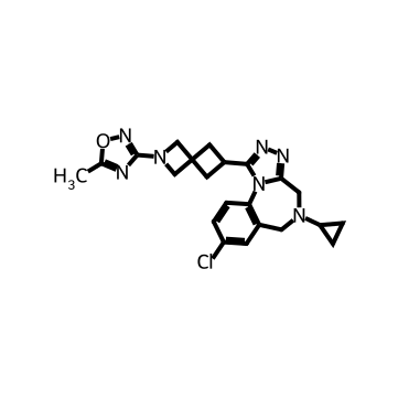 Cc1nc(N2CC3(CC(c4nnc5n4-c4ccc(Cl)cc4CN(C4CC4)C5)C3)C2)no1